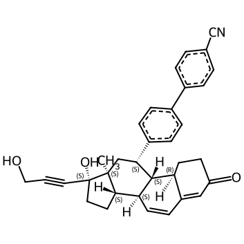 C[C@]12C[C@H](c3ccc(-c4ccc(C#N)cc4)cc3)[C@H]3[C@@H](C=CC4=CC(=O)CC[C@@H]43)[C@@H]1CC[C@@]2(O)C#CCO